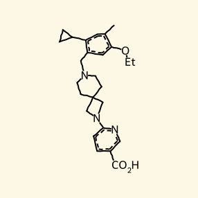 CCOc1cc(CN2CCC3(CC2)CN(c2ccc(C(=O)O)cn2)C3)c(C2CC2)cc1C